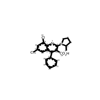 CC1CCCN1c1nc2c(Cl)cc(Cl)cc2c(-c2ccccc2)c1C(=O)O